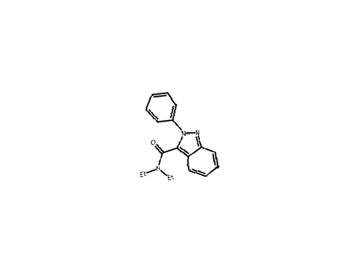 CCN(CC)C(=O)c1c2ccccc2nn1-c1ccccc1